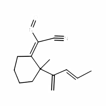 C=C(/C=C/C)C1(C)CCCC/C1=C(/C#N)N=O